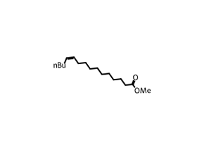 CCCC/C=C\CCCCCCCCCC(=O)OC